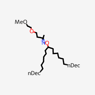 CCCCCCCCCCCCCCCCC(CCCCCCCCCCCCCCCC)O/N=C(\C)CCOCCOC